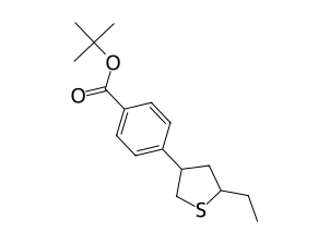 CCC1CC(c2ccc(C(=O)OC(C)(C)C)cc2)CS1